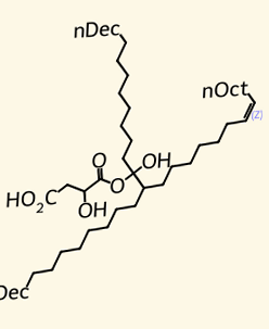 CCCCCCCC/C=C\CCCCCCC(CCCCCCCCCCCCCCCCCC)C(O)(CCCCCCCCCCCCCCCCCC)OC(=O)C(O)CC(=O)O